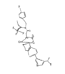 CC(N(Cc1ccc(F)cc1)C(=O)CN1C(=O)O[C@@]2(CCc3cc(-c4cncc(C(F)F)c4)ccc32)C1=O)C(F)(F)F